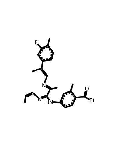 C\C=C/N=C(Nc1ccc(C(=O)CC)c(C)c1)\C(C)=N\C=C(/C)c1ccc(C)c(F)c1